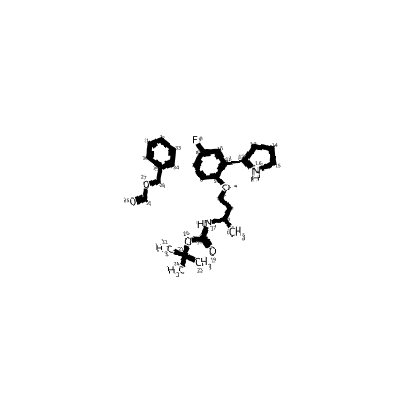 CC(CCOc1ccc(F)cc1[C@H]1CCCN1)NC(=O)OC(C)(C)C.O=COCc1ccccc1